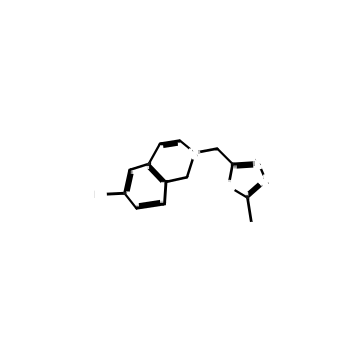 Cc1nnc(CN2C=Cc3cc(Br)ccc3C2)o1